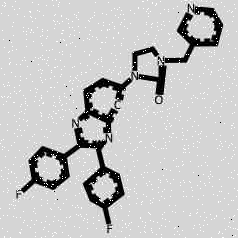 O=C1N(Cc2cccnc2)CCN1c1ccc2nc(-c3ccc(F)cc3)c(-c3ccc(F)cc3)nc2c1